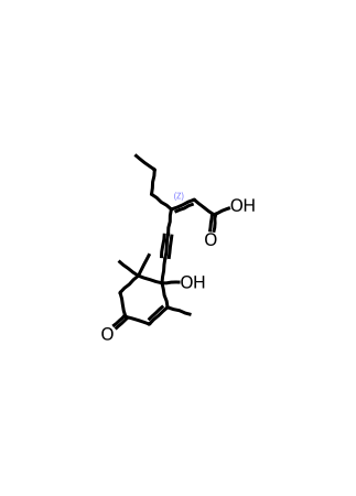 CCC/C(C#CC1(O)C(C)=CC(=O)CC1(C)C)=C/C(=O)O